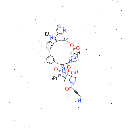 CCn1c(-c2cncnc2)c2c3cc(ccc31)-c1cccc(c1)C[C@H](NC(=O)[C@H](C(C)C)N(C)C(=O)C1(O)CCN(C(=O)C#CCN(C)C)C1)C(=O)N1CCC[C@H](N1)C(=O)OCC(C)(C)C2